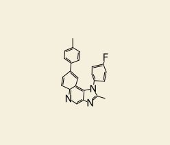 Cc1ccc(-c2ccc3ncc4nc(C)n(-c5ccc(F)cc5)c4c3c2)cc1